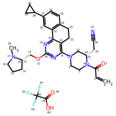 C=CC(=O)N1CCN(c2nc(OC[C@@H]3CCCN3C)nc3c2CCc2ccc(C4CC4)cc2-3)C[C@@H]1CC#N.O=C(O)C(F)(F)F